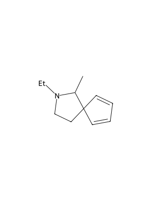 CCN1CCC2(C=CC=C2)C1C